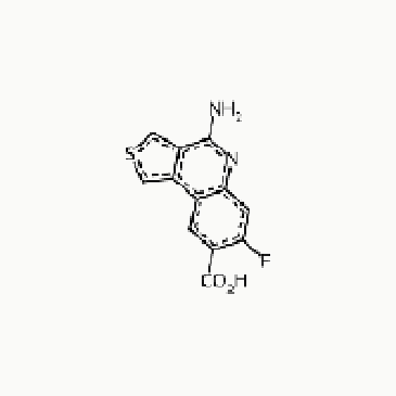 Nc1nc2cc(F)c(C(=O)O)cc2c2cscc12